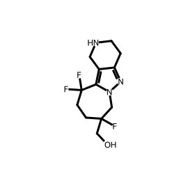 OCC1(F)CCC(F)(F)c2c3c(nn2C1)CCNC3